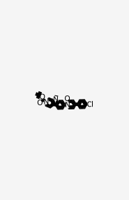 Cn1c2c(c3ccc(-n4ccc(-c5ccc(Cl)cc5)cc4=O)cc31)CCN(C(=O)OC(C)(C)C)C2